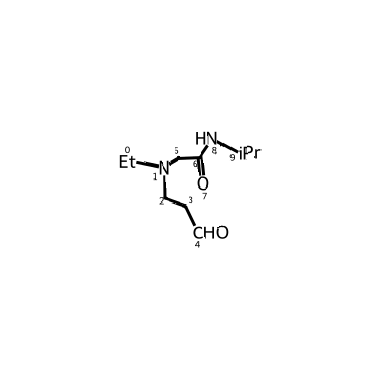 CCN(CCC=O)CC(=O)NC(C)C